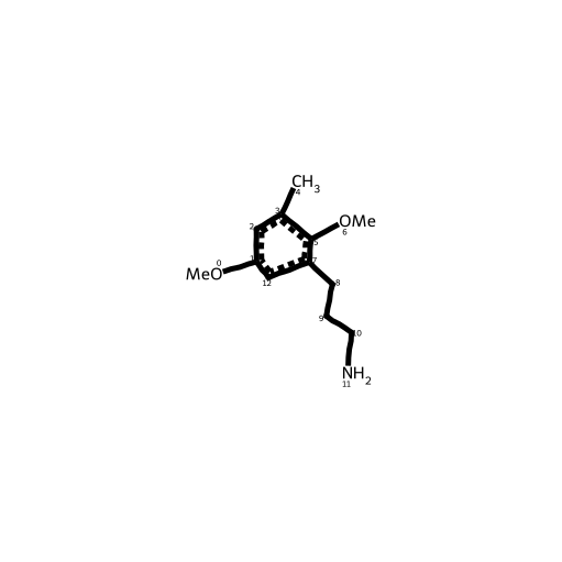 COc1cc(C)c(OC)c(CCCN)c1